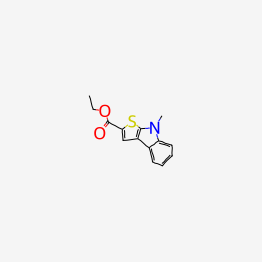 CCOC(=O)c1cc2c3ccccc3n(C)c2s1